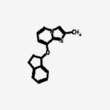 Cc1cn2cccc(OC3CCc4ccccc43)c2n1